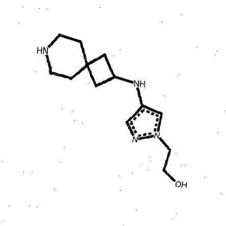 OCCn1cc(NC2CC3(CCNCC3)C2)cn1